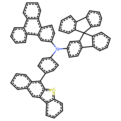 c1ccc2c(c1)-c1ccccc1C21c2ccccc2-c2ccc(N(c3ccc(-c4c5ccccc5cc5c4sc4ccccc45)cc3)c3ccc4c5ccccc5c5ccccc5c4c3)cc21